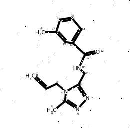 C=CCn1c(C)nnc1CNC(=O)c1cccc(C)c1